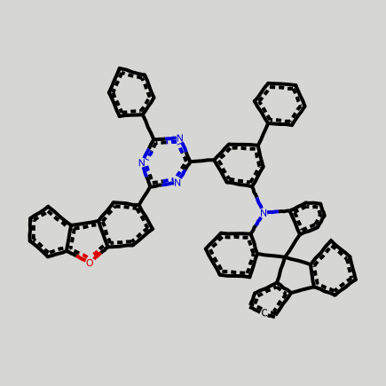 c1ccc(-c2cc(-c3nc(-c4ccccc4)nc(-c4ccc5oc6ccccc6c5c4)n3)cc(N3c4ccccc4C4(c5ccccc5-c5ccccc54)c4ccccc43)c2)cc1